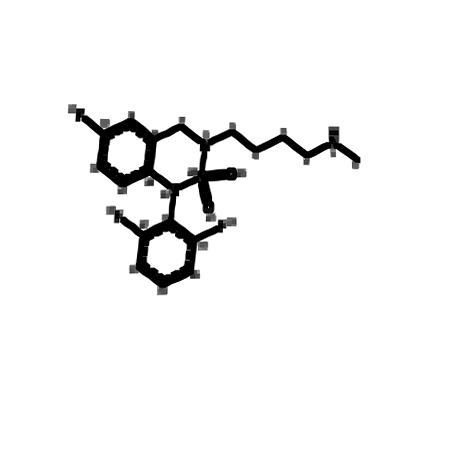 CNCCCCN1Cc2cc(F)ccc2N(c2c(F)cccc2F)S1(=O)=O